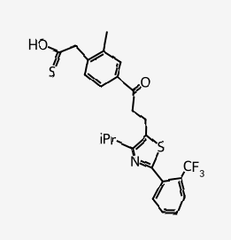 Cc1cc(C(=O)CCc2sc(-c3ccccc3C(F)(F)F)nc2C(C)C)ccc1CC(O)=S